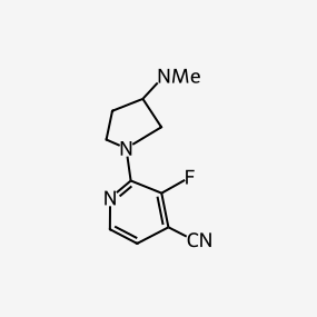 CNC1CCN(c2nccc(C#N)c2F)C1